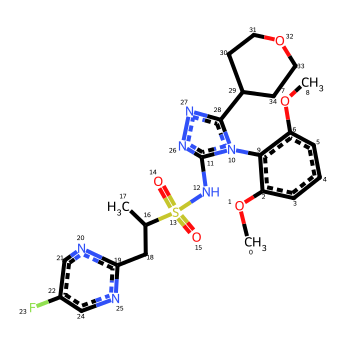 COc1cccc(OC)c1-n1c(NS(=O)(=O)C(C)Cc2ncc(F)cn2)nnc1C1CCOCC1